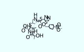 CC(O)[C@H]1C(=O)N2C(C(=O)O)=C(SC3CN[C@H]([C@@H](Sc4nncs4)C(=O)OCc4ccc([N+](=O)[O-])cc4)C3)[C@@H](C)[C@H]12